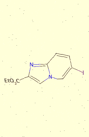 CCOC(=O)c1cn2cc(I)ccc2n1